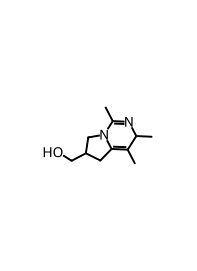 CC1=NC(C)C(C)=C2CC(CO)CN12